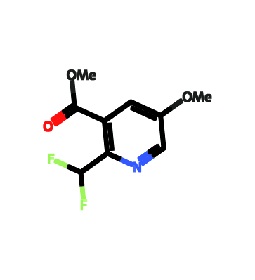 COC(=O)c1cc(OC)cnc1C(F)F